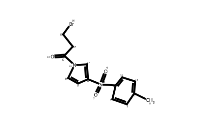 Cc1ccc(S(=O)(=O)c2ccn(C(=O)CCBr)c2)cc1